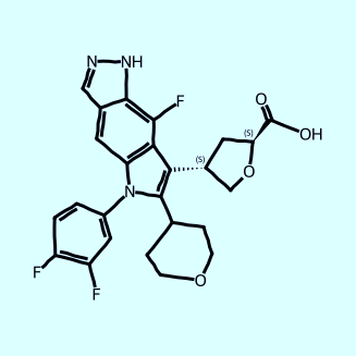 O=C(O)[C@@H]1C[C@@H](c2c(C3CCOCC3)n(-c3ccc(F)c(F)c3)c3cc4cn[nH]c4c(F)c23)CO1